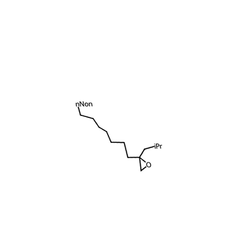 CCCCCCCCCCCCCCCCC1(CC(C)C)CO1